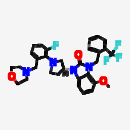 COc1cccc2c1n(Cc1ccccc1C(F)(F)F)c(=O)n2[C@@H]1CCN(c2c(F)cccc2CN2CCOCC2)C1